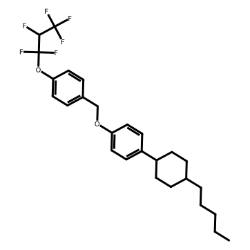 CCCCCC1CCC(c2ccc(OCc3ccc(OC(F)(F)C(F)C(F)(F)F)cc3)cc2)CC1